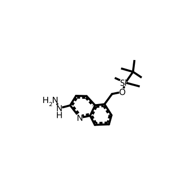 CC(C)(C)[Si](C)(C)OCc1cccc2nc(NN)ccc12